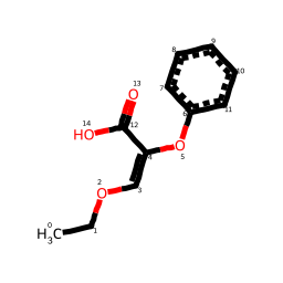 CCOC=C(Oc1ccccc1)C(=O)O